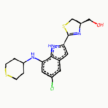 OC[C@@H]1CSC(c2cc3cc(Cl)cc(NC4CCSCC4)c3[nH]2)=N1